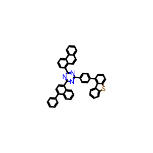 c1ccc(-c2ccc(-c3nc(-c4ccc(-c5cccc6sc7ccccc7c56)cc4)nc(-c4cccc5c4ccc4ccccc45)n3)c3ccccc23)cc1